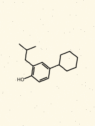 CC(C)Cc1cc(C2CCCCC2)ccc1O